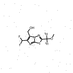 [2H]C([2H])(OC)c1nn2c(CO)c(C(F)F)nc2s1